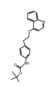 CC(C)(C)OC(=O)Nc1ccc(CCSc2ccnc3ccccc23)cc1